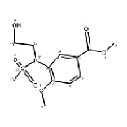 COC(=O)c1ccc(OC)c(N(CCO)S(C)(=O)=O)c1